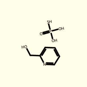 O=P(O)(O)S.OCc1ccccn1